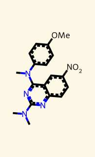 COc1ccc(N(C)c2nc(N(C)C)nc3ccc([N+](=O)[O-])cc23)cc1